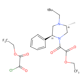 C[C@@H]1CN(C(=O)C(=O)OCC(F)(F)F)[C@@H](c2ccccc2)CN1CC(C)(C)C.O=C(Cl)C(=O)OCC(F)(F)F